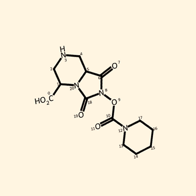 O=C(O)C1CNCC2C(=O)N(OC(=O)N3CCCCC3)C(=O)N12